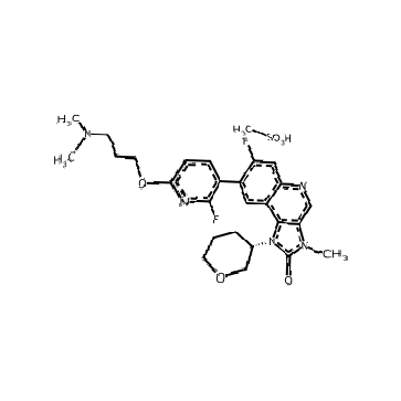 CN(C)CCCOc1ccc(-c2cc3c(cc2F)ncc2c3n([C@H]3CCCOC3)c(=O)n2C)c(F)n1.CS(=O)(=O)O